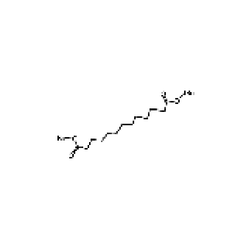 CC(C)(C)OC(=O)CCCCCCCCCCCC(=O)OC(C)(C)C